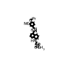 CC(C)Oc1ccc(-c2nnc(-c3cccc4c3CCCC4NCCS(C)(=O)=O)s2)cc1C#N